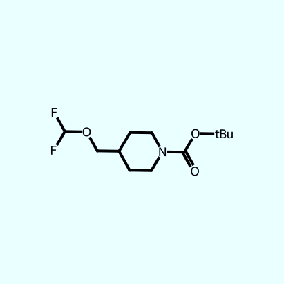 CC(C)(C)OC(=O)N1CCC(COC(F)F)CC1